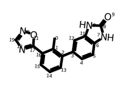 Cc1c(-c2ccc3[nH]c(=O)[nH]c3c2)cccc1-c1ncno1